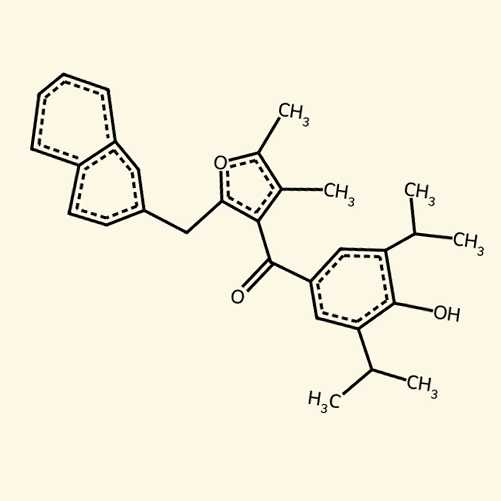 Cc1oc(Cc2ccc3ccccc3c2)c(C(=O)c2cc(C(C)C)c(O)c(C(C)C)c2)c1C